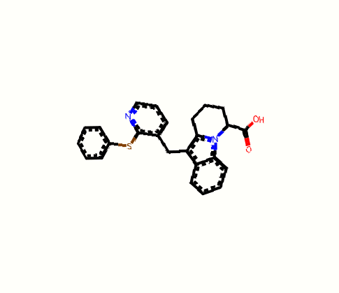 O=C(O)C1CCCc2c(Cc3cccnc3Sc3ccccc3)c3ccccc3n21